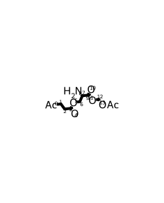 CC(=O)CCC(=O)OCC(N)C(=O)OCOC(C)=O